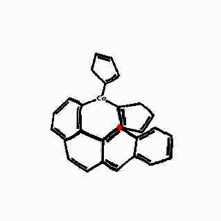 C1=CC[C]([Co]([C]2=CC=CC2)[c]2cccc3ccc4cc5ccccc5cc4c23)=C1